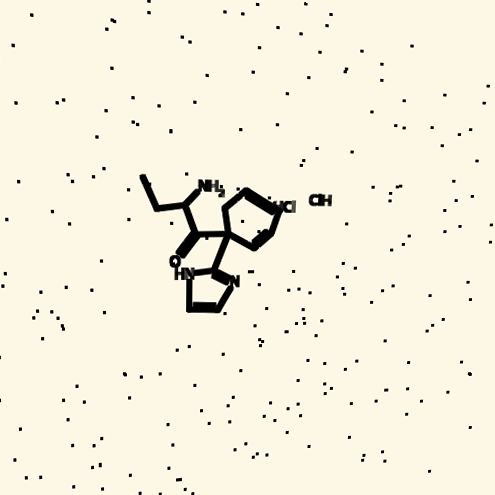 CCC(N)C(=O)C1(c2ncc[nH]2)C=CC=CC1.Cl.Cl